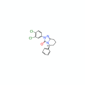 O=c1n(-c2ccc(Cl)c(Cl)c2)nc2n1[C@H](c1ccccc1)CCC2